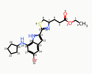 CCOC(=O)CCC1CSC(c2cc3cc(Br)cc(NC4CCCC4)c3[nH]2)=N1